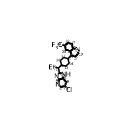 CCC(c1nc2ncc(Cl)cc2[nH]1)C1CCC(c2ccnc3ccc(C(F)(F)F)cc23)CC1